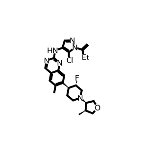 C=C(CC)n1ncc(Nc2ncc3cc(C)c([C@@H]4CCN([C@H]5COC[C@H]5C)C[C@H]4F)cc3n2)c1Cl